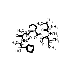 CC[C@H](C)[C@@H]([C@@H](CC(=O)N1CCC[C@H]1[C@H](OC)[C@@H](C)C(=O)N[C@H](C)[C@@H](O)c1ccccc1)OC)N(C)C(=O)[C@@H](N)C(C)C